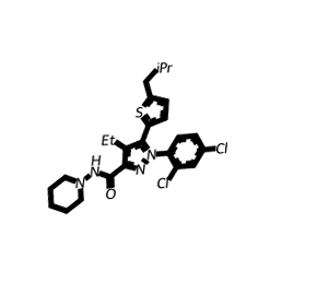 CCc1c(C(=O)NN2CCCCC2)nn(-c2ccc(Cl)cc2Cl)c1-c1ccc(CC(C)C)s1